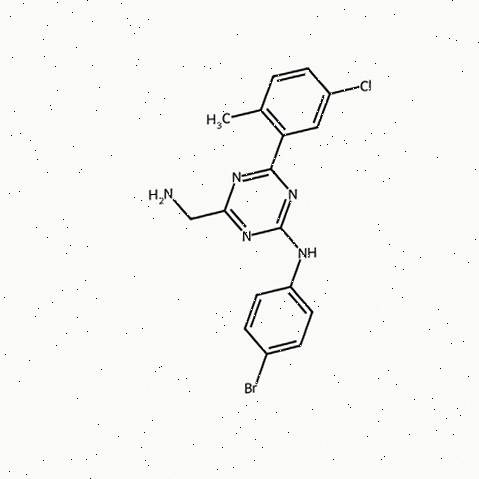 Cc1ccc(Cl)cc1-c1nc(CN)nc(Nc2ccc(Br)cc2)n1